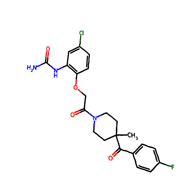 CC1(C(=O)c2ccc(F)cc2)CCN(C(=O)COc2ccc(Cl)cc2NC(N)=O)CC1